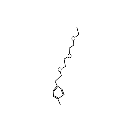 CCOCCOCCOCCc1ccc(C)cc1